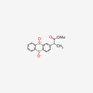 COC(=O)C(C)c1ccc2c(c1)[S+]([O-])c1ccccc1[S+]2[O-]